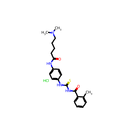 Cc1ccccc1C(=O)NC(=S)Nc1ccc(NC(=O)CCCCN(C)C)cc1.Cl